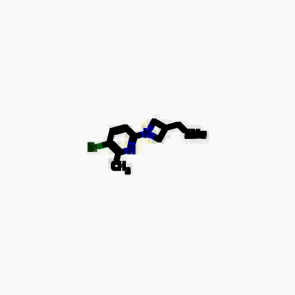 CSCC1CN(c2ccc(Br)c(C)n2)C1